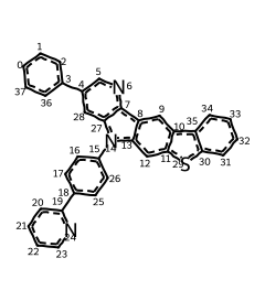 c1ccc(-c2cnc3c4cc5c(cc4n(-c4ccc(-c6ccccn6)cc4)c3c2)sc2ccccc25)cc1